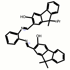 CCCC1(C)c2ccccc2-c2cc(O)c(/C=N/c3ccccc3/N=C/c3cc4c(cc3O)-c3ccccc3C4(C)C)cc21